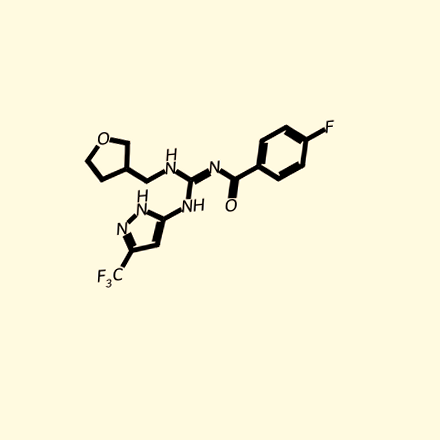 O=C(/N=C(/NCC1CCOC1)Nc1cc(C(F)(F)F)n[nH]1)c1ccc(F)cc1